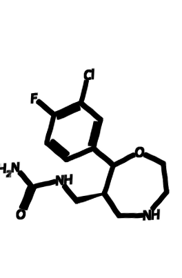 NC(=O)NC[C@@H]1CNCCOC1c1ccc(F)c(Cl)c1